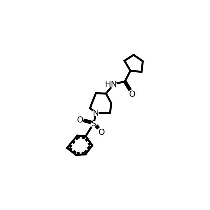 O=C(NC1CCN(S(=O)(=O)c2ccccc2)CC1)C1CCCC1